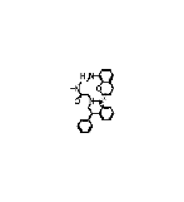 CN(C)C(=O)CN(CC(c1ccccc1)c1ccccc1)C(=O)[C@H]1CCc2cccc(N)c2O1